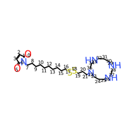 O=C1C=CC(=O)N1CCCCCCCCCCSSCCCN1CCCNCCNCCCNCC1